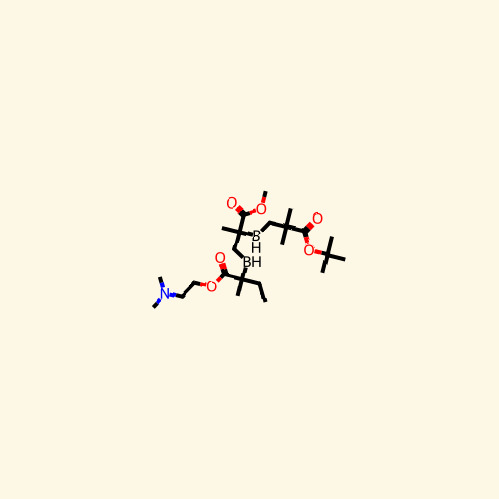 CCC(C)(BCC(C)(BCC(C)(C)C(=O)OC(C)(C)C)C(=O)OC)C(=O)OCCN(C)C